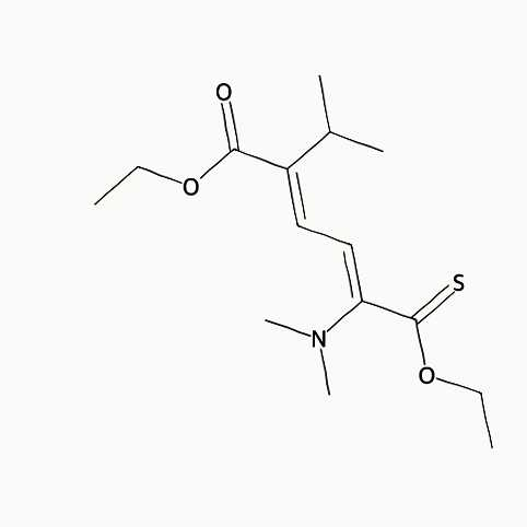 CCOC(=O)C(=CC=C(C(=S)OCC)N(C)C)C(C)C